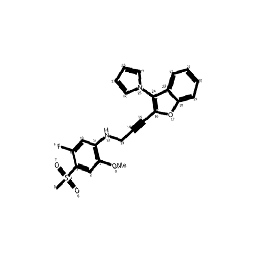 COc1cc(S(C)(=O)=O)c(F)cc1NCC#Cc1oc2ccccc2c1-n1cccc1